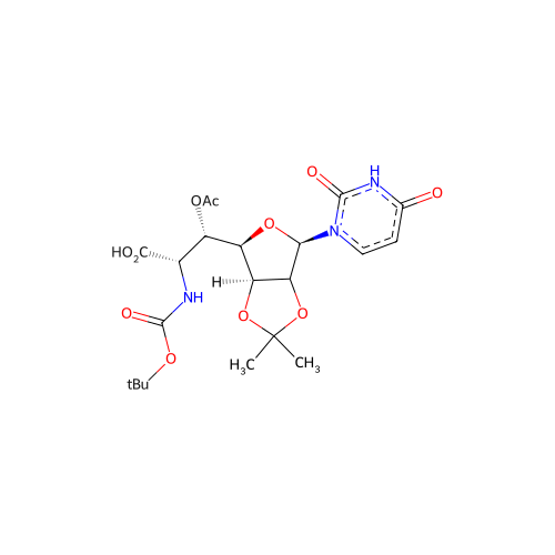 CC(=O)O[C@H]([C@H]1O[C@@H](n2ccc(=O)[nH]c2=O)C2OC(C)(C)O[C@H]21)[C@H](NC(=O)OC(C)(C)C)C(=O)O